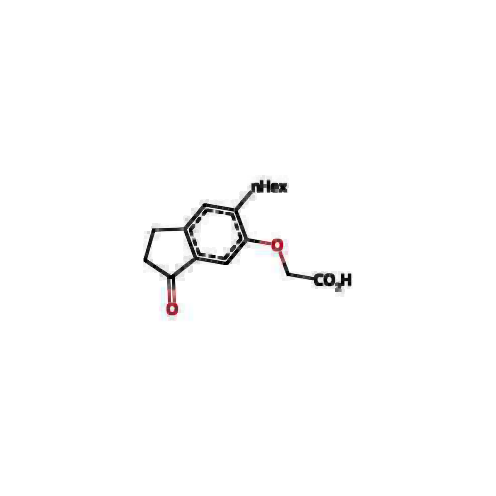 CCCCCCc1cc2c(cc1OCC(=O)O)C(=O)CC2